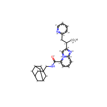 O=C(NCC12CC3CC(CC(C3)C1)C2)c1cccc2nc(C(Cc3ccccn3)C(=O)O)cn12